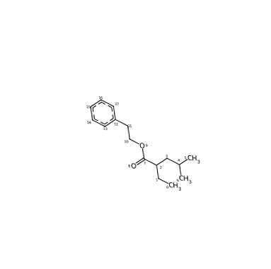 CCC(CC(C)C)C(=O)OCCc1ccccc1